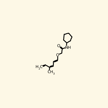 C=C/C(C)=C\C=C\OCC(=O)NC1CCCCC1